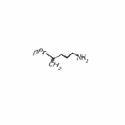 C=C(CCC)CCCN